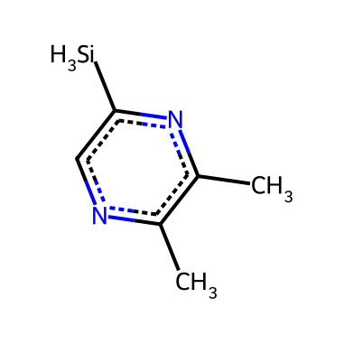 Cc1ncc([SiH3])nc1C